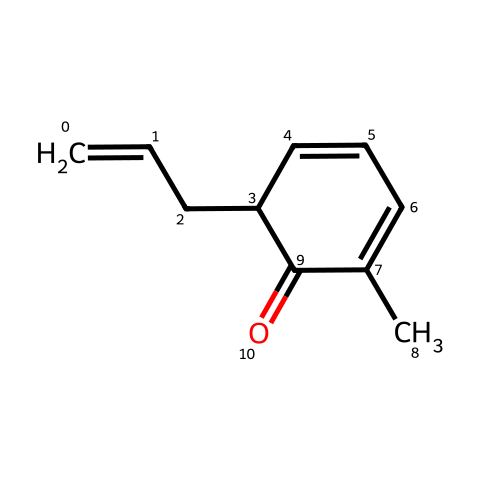 C=CCC1C=CC=C(C)C1=O